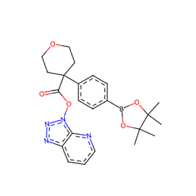 CC1(C)OB(c2ccc(C3(C(=O)On4nnc5cccnc54)CCOCC3)cc2)OC1(C)C